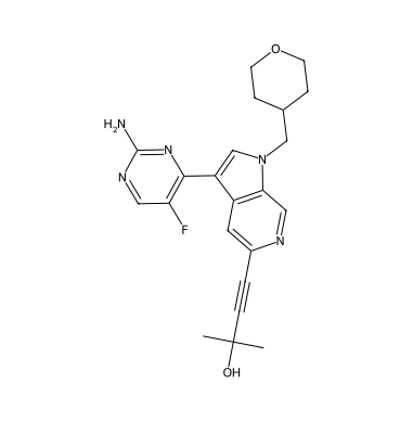 CC(C)(O)C#Cc1cc2c(-c3nc(N)ncc3F)cn(CC3CCOCC3)c2cn1